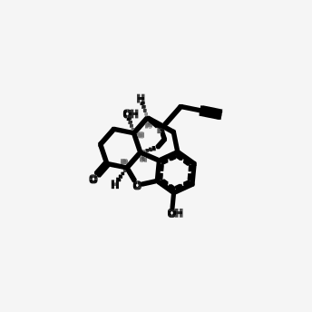 C#CCN1CC[C@]23c4c5ccc(O)c4O[C@H]2C(=O)CC[C@@]3(O)[C@H]1C5